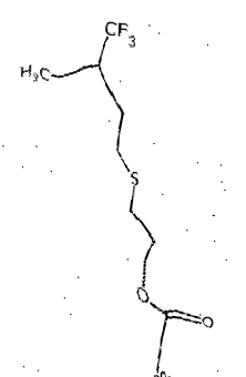 CCCC(=O)OCCSCCC(C)C(F)(F)F